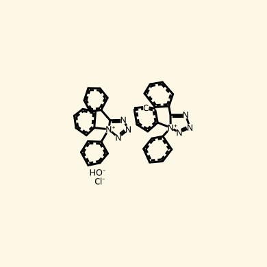 [Cl-].[OH-].c1ccc(C2=NN=N[N+]2(c2ccccc2)c2ccccc2)cc1.c1ccc(C2=NN=N[N+]2(c2ccccc2)c2ccccc2)cc1